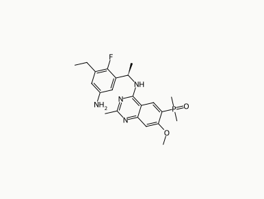 CCc1cc(N)cc([C@@H](C)Nc2nc(C)nc3cc(OC)c(P(C)(C)=O)cc23)c1F